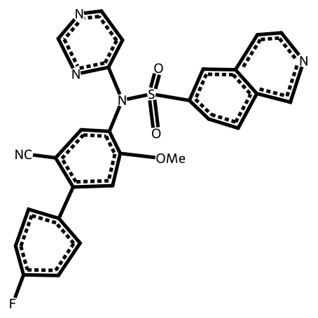 COc1cc(-c2ccc(F)cc2)c(C#N)cc1N(c1ccncn1)S(=O)(=O)c1ccc2cnccc2c1